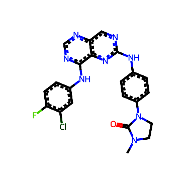 CN1CCN(c2ccc(Nc3ncc4ncnc(Nc5ccc(F)c(Cl)c5)c4n3)cc2)C1=O